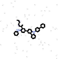 C=C(/C=C\C=C/C)c1cc(-c2ccc3c(c2)c2ccccc2n3-c2ccc(-c3ccccc3)cc2)ccc1Nc1ccccc1